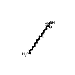 CCCCCCCC/C=C/CCCCCCCC(=O)NO